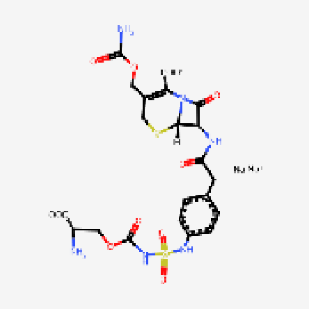 NC(=O)OCC1=C(C(=O)[O-])N2C(=O)[C@@H](NC(=O)Cc3ccc(NS(=O)(=O)NC(=O)OC[C@@H](N)C(=O)[O-])cc3)[C@@H]2SC1.[Na+].[Na+]